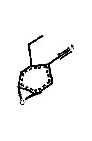 CCc1cc2c(cc1C#N)O2